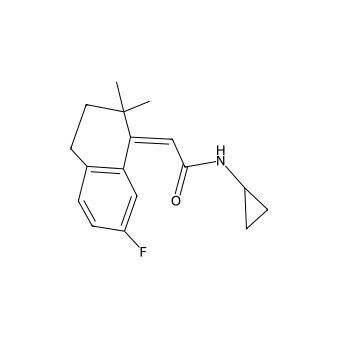 CC1(C)CCc2ccc(F)cc2C1=CC(=O)NC1CC1